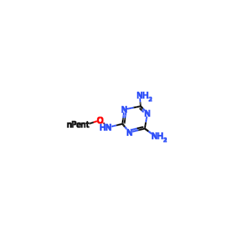 CCCCCONc1nc(N)nc(N)n1